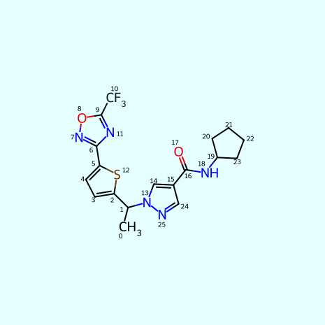 CC(c1ccc(-c2noc(C(F)(F)F)n2)s1)n1cc(C(=O)NC2CCCC2)cn1